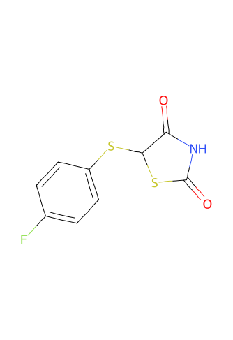 O=C1NC(=O)C(Sc2ccc(F)cc2)S1